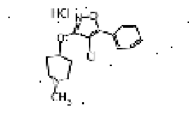 CN1CCC(Oc2noc(-c3ccccc3)c2Cl)CC1.Cl